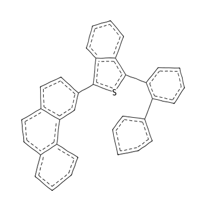 c1ccc(-c2ccccc2-c2sc(-c3ccc4ccc5ccccc5c4c3)c3ccccc23)cc1